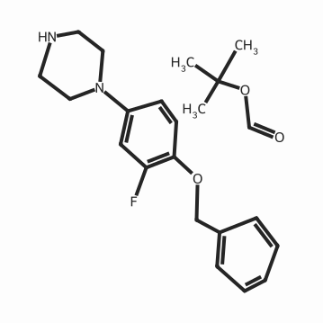 CC(C)(C)OC=O.Fc1cc(N2CCNCC2)ccc1OCc1ccccc1